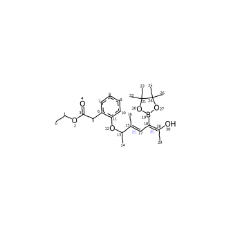 CCOC(=O)Cc1ccccc1OC(C)/C(C)=C/C(B1OC(C)(C)C(C)(C)O1)=C(\C)O